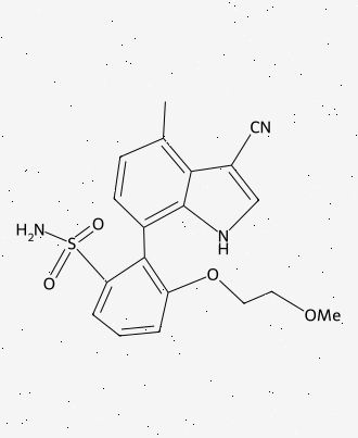 COCCOc1cccc(S(N)(=O)=O)c1-c1ccc(C)c2c(C#N)c[nH]c12